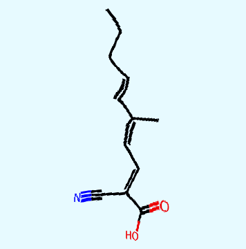 CCC/C=C/C(C)=C/C=C(\C#N)C(=O)O